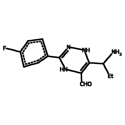 CCC(N)C1=C(C=O)NC(c2ccc(F)cc2)=NN1